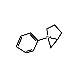 c1ccc([N+]23CCCC2C3)cc1